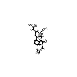 CCN(CC)C(=O)[C@@H]1C=C2c3cccc4c3c(c(Br)n4C(=O)C3COC3)C[C@H]2N(C)C1